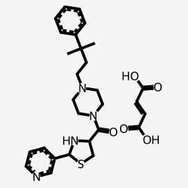 CC(C)(CCN1CCN(C(=O)C2CSC(c3cccnc3)N2)CC1)c1ccccc1.O=C(O)C=CC(=O)O